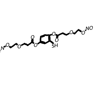 O=C(CCOCCO[N+](=O)[O-])Oc1ccc(OC(=O)CCOCCO[N+](=O)[O-])c(CS)c1